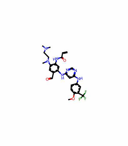 C=CC(=O)Nc1cc(Nc2cc(Nc3ccc(OC)c(C(F)(F)F)c3)ncn2)c(C=O)cc1N(C)CCN(C)C